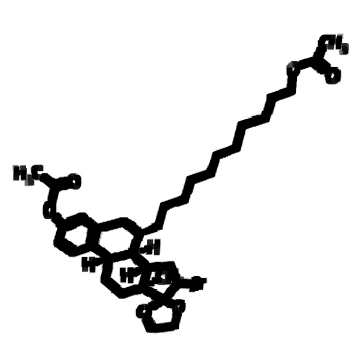 CC(=O)OCCCCCCCCCCC[C@@H]1Cc2cc(OC(C)=O)ccc2[C@H]2CC[C@@]3(C)[C@@H](CC(Br)C34OCCO4)[C@H]12